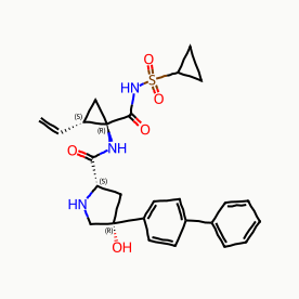 C=C[C@@H]1C[C@]1(NC(=O)[C@@H]1C[C@@](O)(c2ccc(-c3ccccc3)cc2)CN1)C(=O)NS(=O)(=O)C1CC1